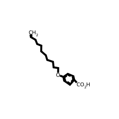 C=CCCCCCCCCCOc1ccc(C(=O)O)cc1